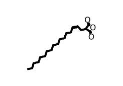 CCCCCCCCCCCCCC/C=C\CC1C(=O)OC1=O